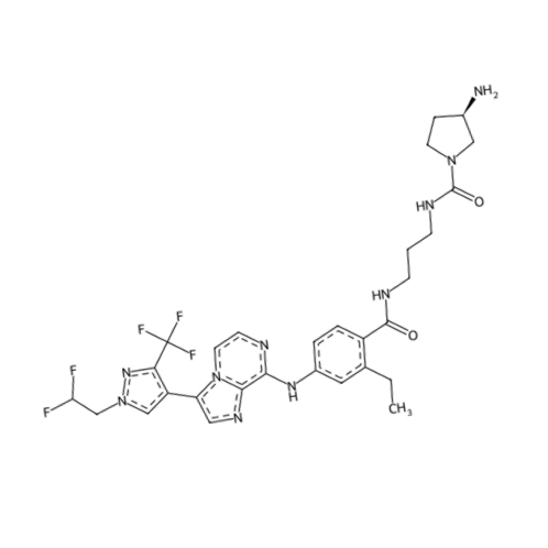 CCc1cc(Nc2nccn3c(-c4cn(CC(F)F)nc4C(F)(F)F)cnc23)ccc1C(=O)NCCCNC(=O)N1CC[C@@H](N)C1